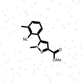 COC(=O)c1cc(-c2cccc(C)c2C#N)n(C)n1